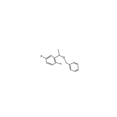 CC(OCc1ccccc1)c1cc(F)ccc1I